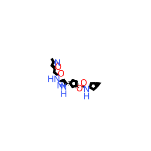 Cc1cc(CC(=O)Nc2cc([C@@H]3CC[C@H](OC(=O)NC4CC5CC5C4)C3)[nH]n2)on1